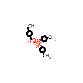 CCc1ccc(C(=O)OOP(=O)(Oc2ccc(C)cc2)Oc2ccc(C)cc2)cc1